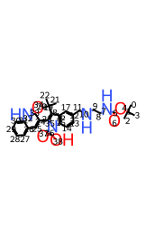 CC(C)(C)OC(=O)NCCNCc1ccc2c(c1)c(C(C)(C)C)c(-c1cc3ccccc3[nH]c1=O)n2C(=O)O